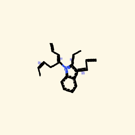 C=C/C=c1\c(=C/C)n(/C(=C/C=C)C/C=C\C)c2ccccc12